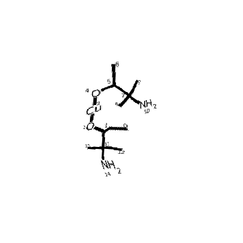 CC([O][Cu][O]C(C)C(C)(C)N)C(C)(C)N